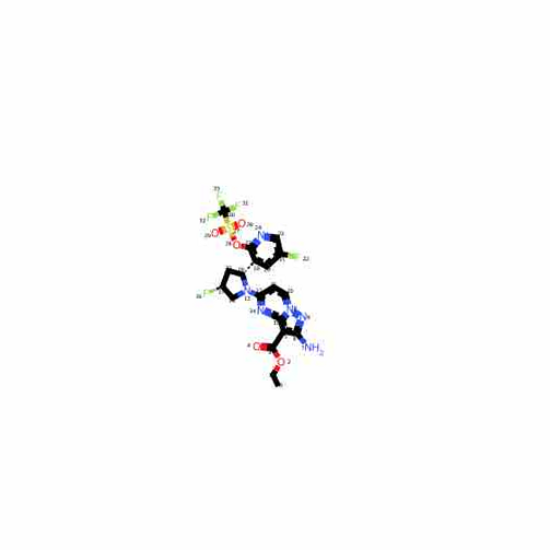 CCOC(=O)c1c(N)nn2ccc(N3C[C@@H](F)C[C@@H]3c3cc(F)cnc3OS(=O)(=O)C(F)(F)F)nc12